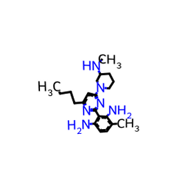 CCCCc1cc(N2CCCC(NC)C2)nc(-c2c(N)ccc(C)c2N)n1